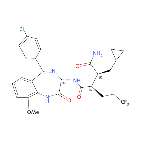 COc1cccc2c1NC(=O)[C@@H](NC(=O)[C@H](CCC(F)(F)F)[C@H](CC1CC1)C(N)=O)N=C2c1ccc(Cl)cc1